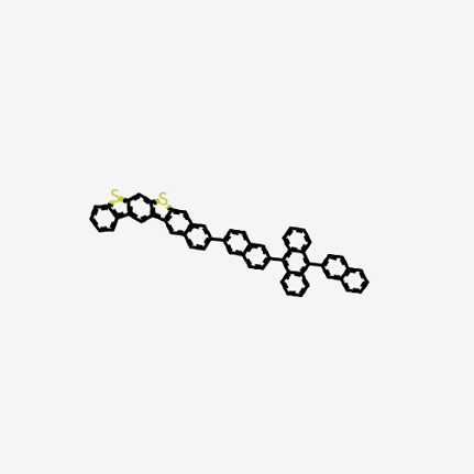 c1ccc2cc(-c3c4ccccc4c(-c4ccc5cc(-c6ccc7cc8c(cc7c6)sc6cc7sc9ccccc9c7cc68)ccc5c4)c4ccccc34)ccc2c1